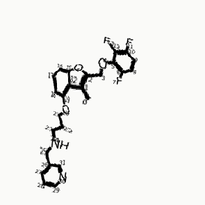 Cc1c(COc2c(F)ccc(F)c2F)oc2cccc(OCCCNCc3cccnc3)c12